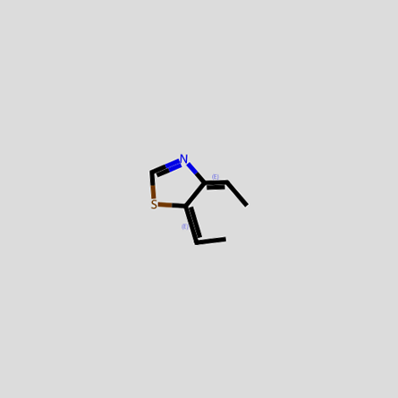 C/C=c1/ncs/c1=C/C